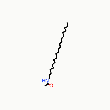 CCCCCCCCCCCCCCCCCCCCCCNC(C)=O